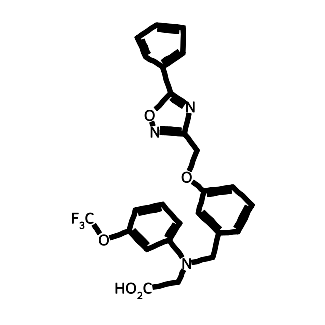 O=C(O)CN(Cc1cccc(OCc2noc(-c3ccccc3)n2)c1)c1cccc(OC(F)(F)F)c1